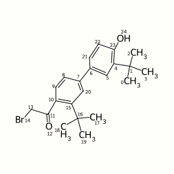 CC(C)(C)c1cc(-c2ccc(C(=O)CBr)c(C(C)(C)C)c2)ccc1O